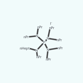 CCCCCCCN(CCC)[P+](N(CCC)CCC)(N(CCC)CCC)N(CCC)CCC.[I-]